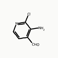 Nc1c(C=O)ccnc1Cl